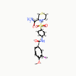 COc1ccc(C(=O)Nc2ccc(S(=O)(=O)N3CCSCC3C(N)=O)cc2)cc1I